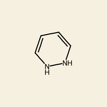 C1=CNNC=C1